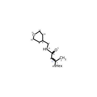 CCCCCC/C(C)=C/C(=O)NCC1CCOCC1